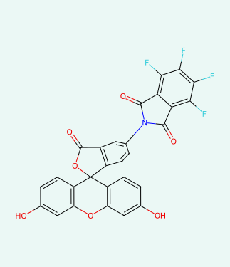 O=C1OC2(c3ccc(O)cc3Oc3cc(O)ccc32)c2ccc(N3C(=O)c4c(F)c(F)c(F)c(F)c4C3=O)cc21